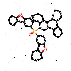 O=P(c1ccc2oc3ccccc3c2c1)(c1ccc2oc3ccccc3c2c1)c1cc2c3ccccc3c3ccccc3c2c2ccccc12